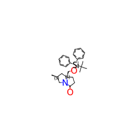 C[C@@H]1CN2C(=O)CC[C@@]2(CO[Si](c2ccccc2)(c2ccccc2)C(C)(C)C)C1